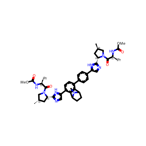 COC(=O)N[C@H](C(=O)N1C[C@H](C)C[C@H]1c1ncc(-c2ccc(-c3ccc(-c4cnc([C@@H]5C[C@H](C)CN5C(=O)[C@@H](NC(=O)OC)C(C)C)[nH]4)c4c3C3CCC4N3C)cc2)[nH]1)C(C)C